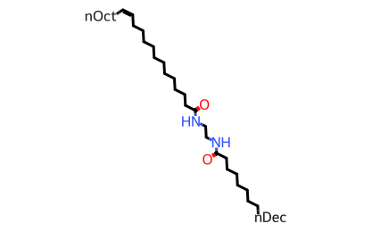 CCCCCCCC/C=C\CCCCCCCCCCCC(=O)NCCNC(=O)CCCCCCCCCCCCCCCCC